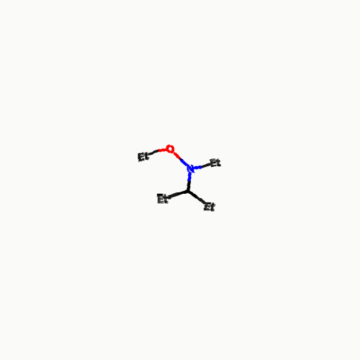 CCON(CC)C(CC)CC